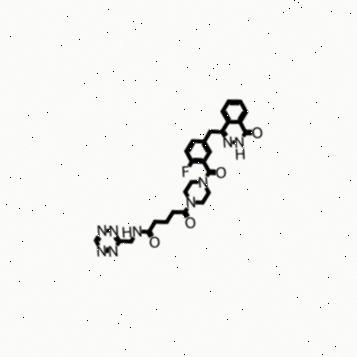 O=C(CCCC(=O)N1CCN(C(=O)c2cc(Cc3n[nH]c(=O)c4ccccc34)ccc2F)CC1)NCc1nncnn1